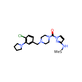 CSNc1ccn(C(=O)N2CCN(Cc3ccc(Cl)c(N4CCCC4)c3)CC2)n1